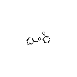 [O]c1ccccc1OCc1cccnc1